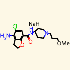 COCCCN1CCC(NC(=O)c2cc(Cl)c(N)c3c2OCC3)CC1.[NaH]